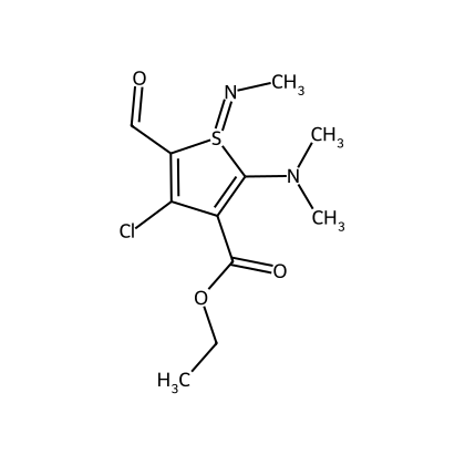 CCOC(=O)C1=C(N(C)C)S(=NC)C(C=O)=C1Cl